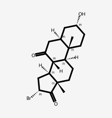 C[C@]12CC[C@@H](O)C[C@@H]1CC(=O)[C@@H]1[C@@H]2CC[C@]2(C)C(=O)[C@H](Br)C[C@@H]12